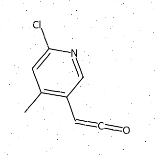 Cc1cc(Cl)ncc1C=C=O